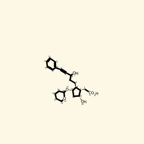 O=C(O)C[C@H]1[C@H](CCC(O)C#Cc2ccccc2)[C@@H](OC2CCCCO2)C[C@H]1O